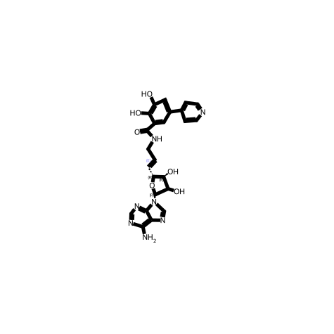 Nc1ncnc2c1ncn2[C@@H]1O[C@H](/C=C/CNC(=O)c2cc(-c3ccncc3)cc(O)c2O)[C@H](O)C1O